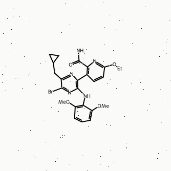 CCOc1ccc(-c2nc(CC3CC3)c(Br)nc2Nc2c(OC)cccc2OC)c(C(N)=O)n1